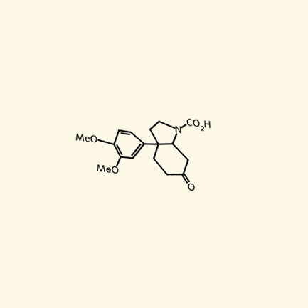 COc1ccc(C23CCC(=O)CC2N(C(=O)O)CC3)cc1OC